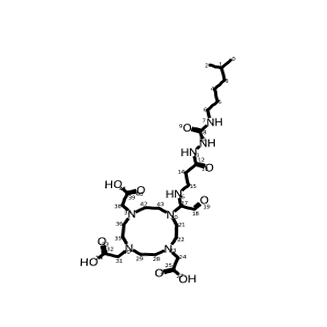 CC(C)CCCCNC(=O)NNC(=O)CCNC(C=O)N1CCN(CC(=O)O)CCN(CC(=O)O)CCN(CC(=O)O)CC1